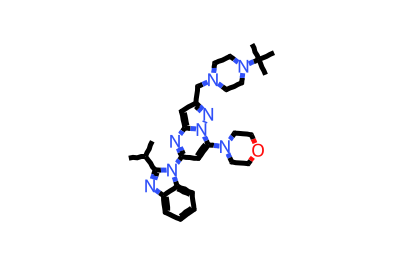 CC(C)c1nc2ccccc2n1-c1cc(N2CCOCC2)n2nc(CN3CCN(C(C)(C)C)CC3)cc2n1